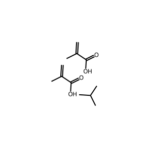 C=C(C)C(=O)O.C=C(C)C(=O)O.CC(C)C